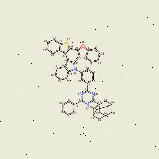 c1ccc(-c2nc(-c3cccc(-n4c5ccccc5c5c6c7ccccc7sc6c6oc7ccccc7c6c54)c3)nc(C34CC5CC(CC(C5)C3)C4)n2)cc1